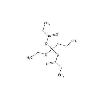 CCSS(OC(=O)CC)(OC(=O)CC)SCC